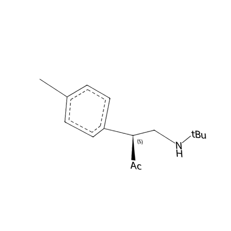 CC(=O)[C@H](CNC(C)(C)C)c1ccc(C)cc1